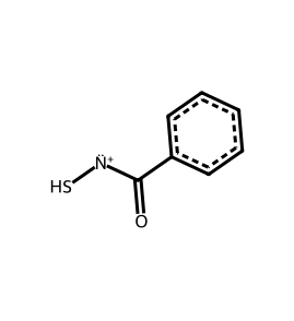 O=C([N+]S)c1ccccc1